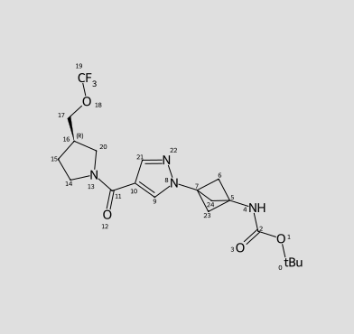 CC(C)(C)OC(=O)NC12CC(n3cc(C(=O)N4CC[C@@H](COC(F)(F)F)C4)cn3)(C1)C2